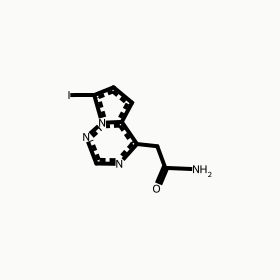 NC(=O)Cc1ncnn2c(I)ccc12